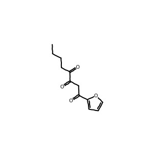 CCCCC(=O)C(=O)CC(=O)c1ccco1